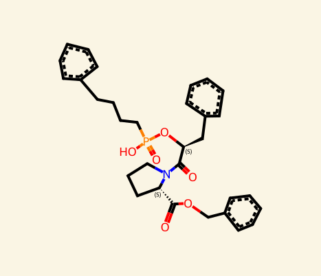 O=C(OCc1ccccc1)[C@@H]1CCCN1C(=O)[C@H](Cc1ccccc1)OP(=O)(O)CCCCc1ccccc1